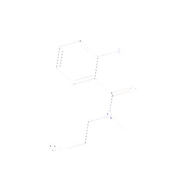 CSCCN(C)C(=O)c1ccccc1I